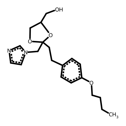 CCCCOc1ccc(CCC2(Cn3ccnc3)OCC(CO)O2)cc1